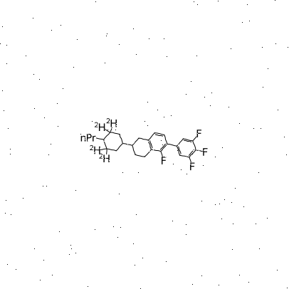 [2H]C1([2H])CC(C2CCc3c(ccc(-c4cc(F)c(F)c(F)c4)c3F)C2)CC([2H])([2H])C1CCC